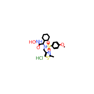 COc1ccc(S(=O)(=O)N(Cc2csc(C)n2)C(C(=O)NO)C2CCCCC2)cc1.Cl